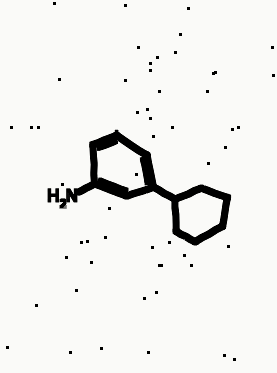 Nc1c[c]cc(C2CCCCC2)c1